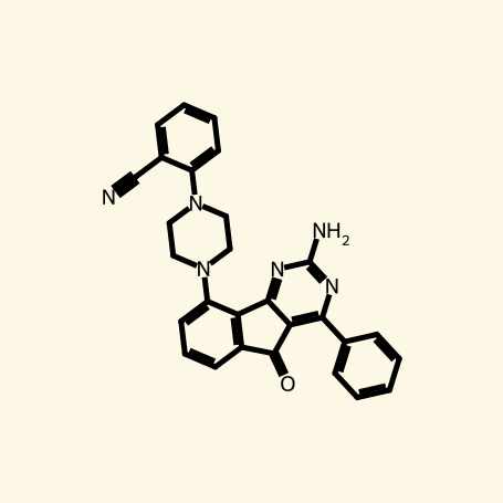 N#Cc1ccccc1N1CCN(c2cccc3c2-c2nc(N)nc(-c4ccccc4)c2C3=O)CC1